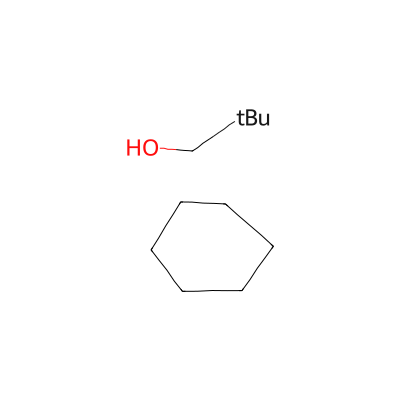 C1CCCCC1.CC(C)(C)CO